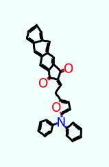 O=C1C(=CCc2ccc(N(c3ccccc3)c3ccccc3)o2)C(=O)c2cc3cc4ccccc4cc3cc21